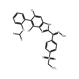 CCS(=O)(=O)c1ccc(/C(=N\O)c2nc3c(Cl)c(-c4ccccc4OC(F)F)c(Cl)cc3[nH]2)cc1